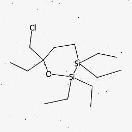 CCC1(CCl)CC[Si](CC)(CC)[Si](CC)(CC)O1